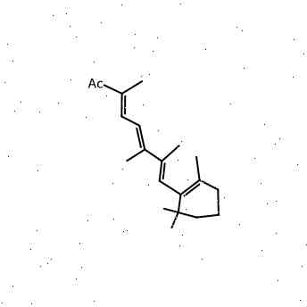 CC(=O)/C(C)=C/C=C(C)/C(C)=C/C1=C(C)CCCC1(C)C